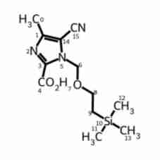 Cc1nc(C(=O)O)n(COCC[Si](C)(C)C)c1C#N